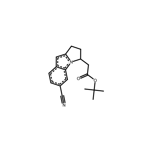 CC(C)(C)OC(=O)CC1CCc2cc3ccc(C#N)cc3n21